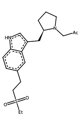 CCS(=O)(=O)CCc1ccc2[nH]cc(C[C@H]3CCCN3CC(C)=O)c2c1